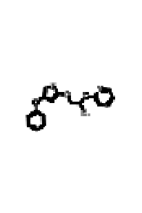 CCC(COc1cc(Oc2ccccc2)cs1)Oc1ccccn1